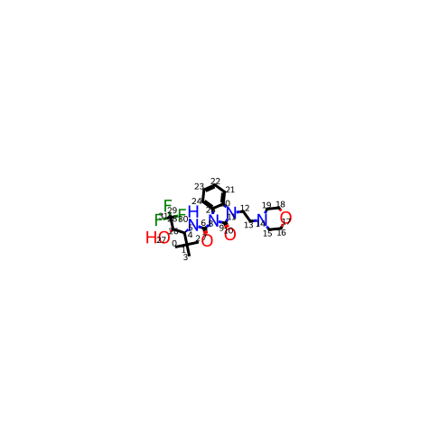 CC(C)(C)[C@H](NC(=O)n1c(=O)n(CCN2CCOCC2)c2ccccc21)C(O)C(F)(F)F